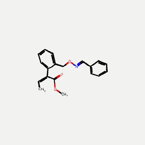 CC=C(C(=O)OC)c1ccccc1CON=Cc1ccccc1